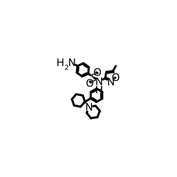 Cc1cc(NS(=O)(=O)c2ccc(N)cc2)no1.c1ccc(C2(N3CCCCC3)CCCCC2)cc1